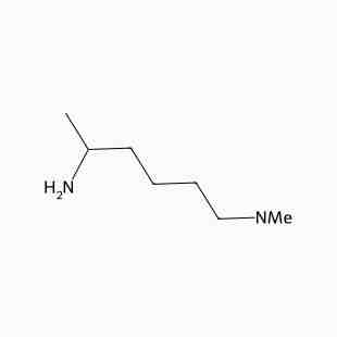 [CH2]NCCCCC(C)N